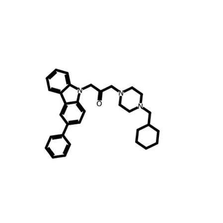 O=C(CN1CCN(CC2CCCCC2)CC1)Cn1c2ccccc2c2cc(-c3ccccc3)ccc21